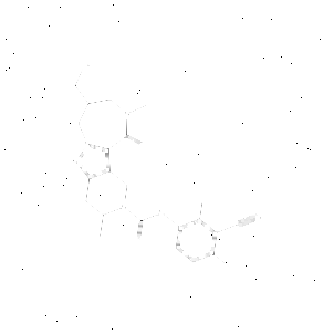 CC1Cc2nn3c(c2CN1C(=O)Nc1ccc(F)c(C#N)c1F)C(=O)N(C)CC(CO)C3